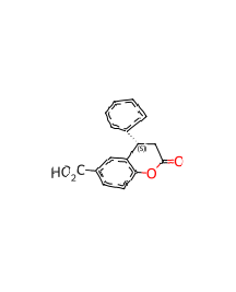 O=C1C[C@@H](c2ccccc2)c2cc(C(=O)O)ccc2O1